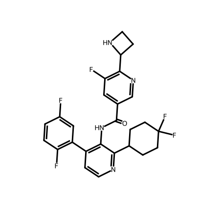 O=C(Nc1c(-c2cc(F)ccc2F)ccnc1C1CCC(F)(F)CC1)c1cnc(C2CCN2)c(F)c1